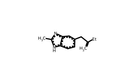 C=C(CC)Cc1ccc2[nH]c(C)nc2c1